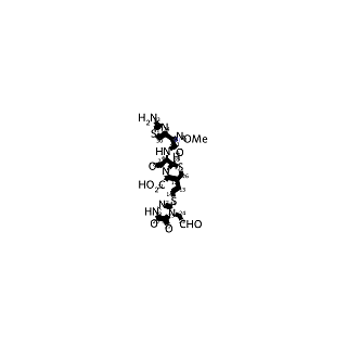 CO/N=C(\C(=O)N[C@@H]1C(=O)N2C(C(=O)O)=C(C=CSc3n[nH]c(=O)c(=O)n3CC=O)CS[C@H]12)c1csc(N)n1